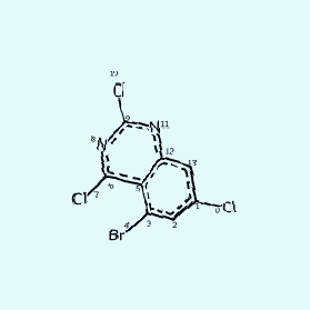 Clc1cc(Br)c2c(Cl)nc(Cl)nc2c1